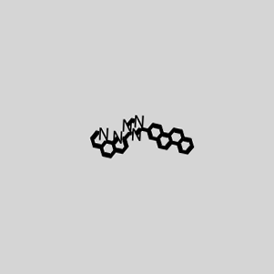 c1ccc2c(c1)ccc1c3ccc(-c4ncnc(-c5ccc6ccc7cccnc7c6n5)n4)cc3ccc21